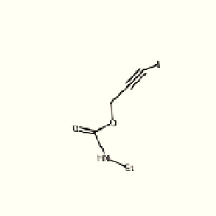 CCNC(=O)OCC#CI